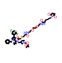 CC(C)(C)OC(=O)N1CCC(CN(C(=O)CSCCC(=O)NCCOCCOCCNC(=O)CCCCCN2C(=O)C=CC2=O)[C@@H](c2cc(-c3cc(F)ccc3F)cn2Cc2ccccc2)C(C)(C)C)C1